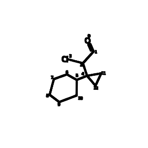 O=CC(Cl)C1(C2CCCCC2)CC1